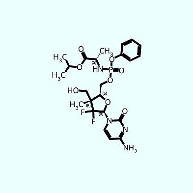 CC(C)OC(=O)[C@H](C)NP(=O)(OC[C@H]1O[C@@H](n2ccc(N)nc2=O)C(F)(F)[C@]1(C)CO)Oc1ccccc1